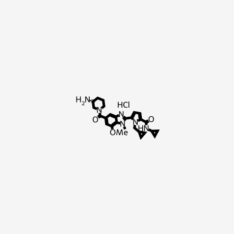 COc1cc(C(=O)N2CCC[C@@H](N)C2)cc2nc(-c3ccc(C(=O)NC4CC4)n3CC3CC3)n(C)c12.Cl